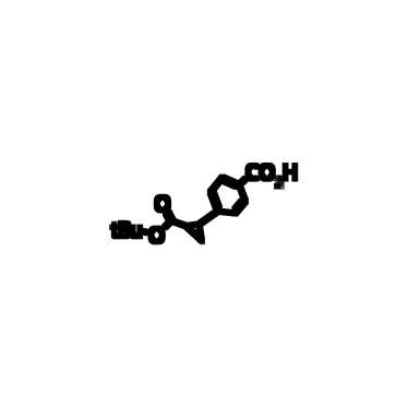 CC(C)(C)OC(=O)C1CC1c1ccc(C(=O)O)cc1